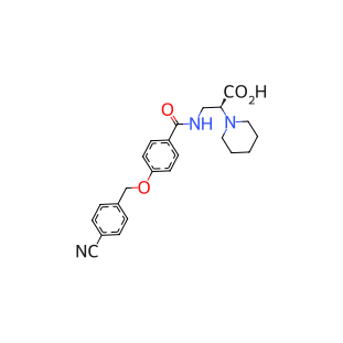 N#Cc1ccc(COc2ccc(C(=O)NC[C@@H](C(=O)O)N3CCCCC3)cc2)cc1